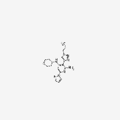 CCCn1cc(-c2c(NC3CCOCC3)cc(-n3cccn3)nc2N)nn1